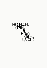 Cc1nc(C(=O)O)cn1CCCNC(=O)OC(C)(C)C